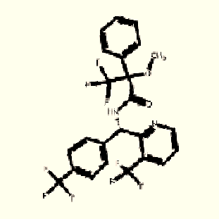 COC(C(=O)N[C@@H](c1ccc(C(F)(F)F)cc1)c1ncccc1C(F)(F)F)(c1ccccc1)C(F)(F)F